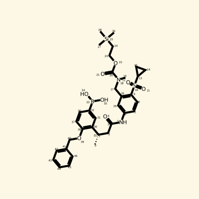 C[C@@H](CC(=O)Nc1ccc(S(=O)(=O)C2CC2)c(CN(C)C(=O)OCC[Si](C)(C)C)c1)c1cc(B(O)O)ccc1OCc1ccccc1